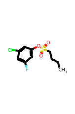 CCCCS(=O)(=O)Oc1cc(F)cc(Cl)c1